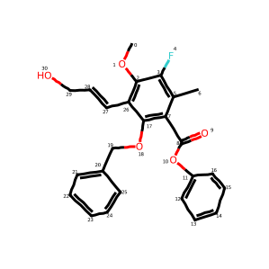 COc1c(F)c(C)c(C(=O)Oc2ccccc2)c(OCc2ccccc2)c1C=CCO